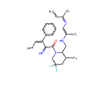 C=C/C(=N\C=C(/C)NCC1C(C)CC(F)(F)CN1C(=O)C(=N)/C(=C\NC)c1ccccc1)C(F)(F)F